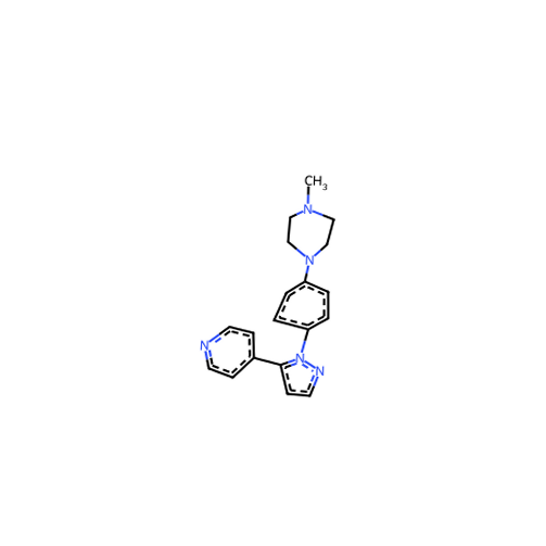 CN1CCN(c2ccc(-n3nccc3-c3ccncc3)cc2)CC1